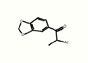 CC(=O)C(C)C(=O)c1ccc2c(c1)OCO2